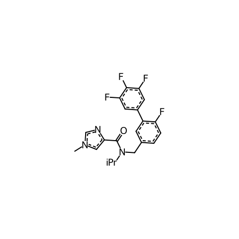 CC(C)N(Cc1ccc(F)c(-c2cc(F)c(F)c(F)c2)c1)C(=O)c1cn(C)cn1